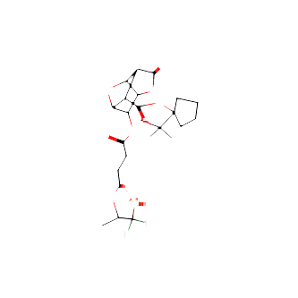 CC(OC(=O)CCC(=O)OC1C2OC(=O)C3C2OC1C3C(=O)OC1(C(C)(C)C)CCCC1)C(F)(F)S(=O)(=O)O